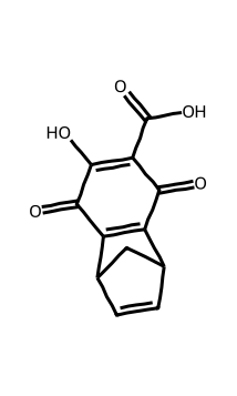 O=C(O)C1=C(O)C(=O)C2=C(C1=O)C1C=CC2C1